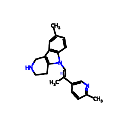 C/C(=C\n1c2c(c3cc(C)ccc31)CNCC2)c1ccc(C)nc1